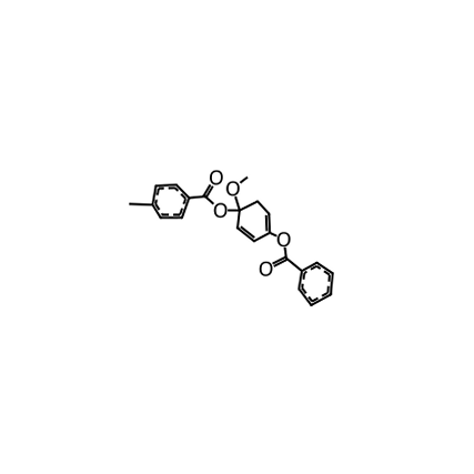 COC1(OC(=O)c2ccc(C)cc2)C=CC(OC(=O)c2ccccc2)=CC1